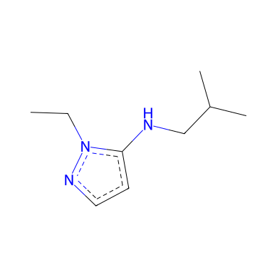 CCn1nccc1NCC(C)C